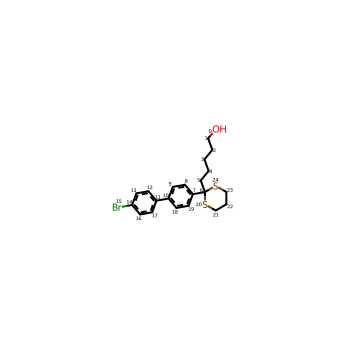 OCCCCCC1(c2ccc(-c3ccc(Br)cc3)cc2)SCCCS1